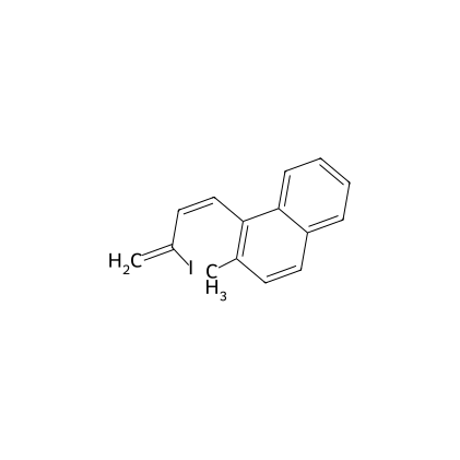 C=C(I)/C=C\c1c(C)ccc2ccccc12